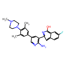 Cc1cc(-c2cnc(N)c(-c3cc4ccc(F)cc4c(O)n3)c2)cc(C)c1N1CCN(C)CC1